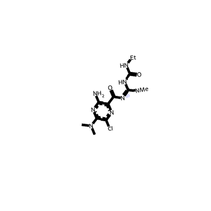 CCNC(=O)N/C(=N\C(=O)c1nc(Cl)c(N(C)C)nc1N)NC